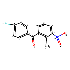 Cc1c(C(=O)c2ccc(F)cc2)cccc1[N+](=O)[O-]